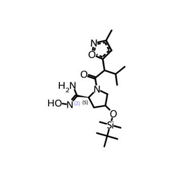 Cc1cc(C(C(=O)N2CC(O[Si](C)(C)C(C)(C)C)C[C@H]2/C(N)=N/O)C(C)C)on1